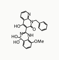 COc1cccc2c1NC(c1c(O)c3cccnc3n(Cc3ccccc3)c1=O)=NS2(O)O